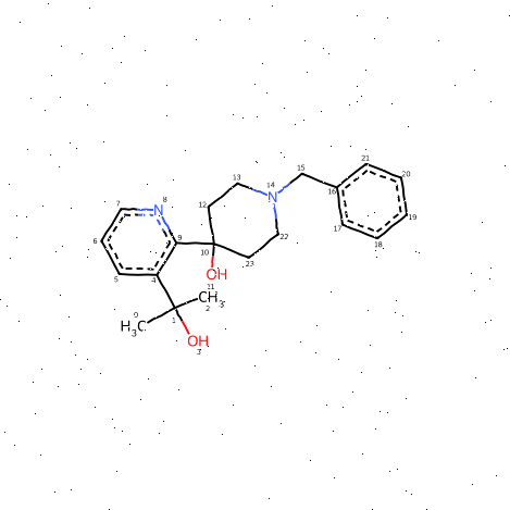 CC(C)(O)c1cccnc1C1(O)CCN(Cc2ccccc2)CC1